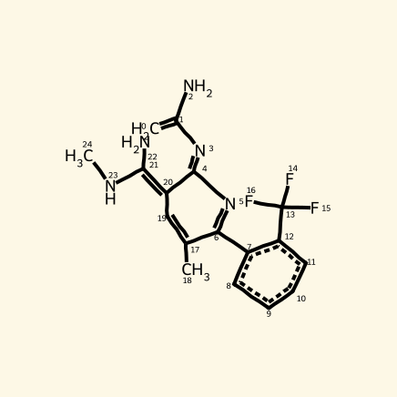 C=C(N)/N=C1/N=C(c2ccccc2C(F)(F)F)C(C)=C/C1=C(/N)NC